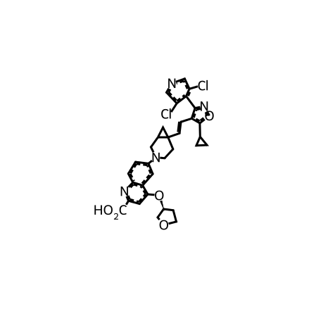 O=C(O)c1cc(O[C@H]2CCOC2)c2cc(N3CCC4(/C=C/c5c(-c6c(Cl)cncc6Cl)noc5C5CC5)CC4C3)ccc2n1